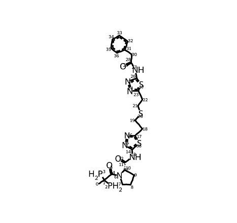 CC(P)(P)C(=O)N1CCC[C@H]1C(=O)Nc1nnc(CCSCCc2nnc(NC(=O)Cc3ccccc3)s2)s1